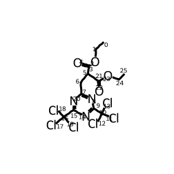 CCOC(=O)C(Cc1nc(C(Cl)(Cl)Cl)nc(C(Cl)(Cl)Cl)n1)C(=O)OCC